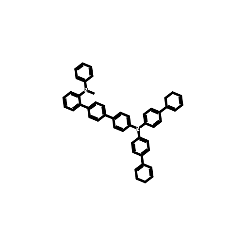 CN(c1ccccc1)c1ccccc1-c1ccc(-c2ccc(N(c3ccc(C4=CCCC=C4)cc3)c3ccc(C4=CC=CCC4)cc3)cc2)cc1